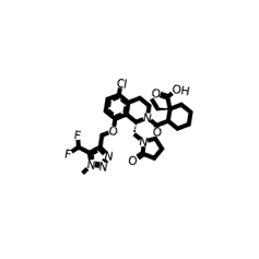 CC[C@@]1(C(=O)O)CCCCC1C(=O)N1CCc2c(Cl)ccc(OCc3nnn(C)c3C(F)F)c2[C@H]1CN1CCCC1=O